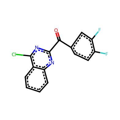 O=C(c1ccc(F)c(F)c1)c1nc(Cl)c2ccccc2n1